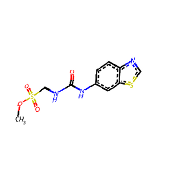 COS(=O)(=O)CNC(=O)Nc1ccc2ncsc2c1